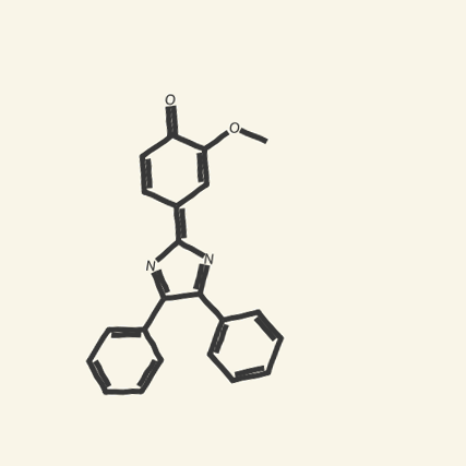 COC1=CC(=C2N=C(c3ccccc3)C(c3ccccc3)=N2)C=CC1=O